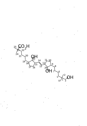 CC(C)(CO)CCCCC1CCC(/C=C/C2CCC(CCCCC(C)(C)C(=O)O)C2O)C1O